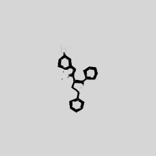 Cn1c(C2=C(c3ccccc3)SC(c3ccccc3)C2)cc2cc(Br)ccc21